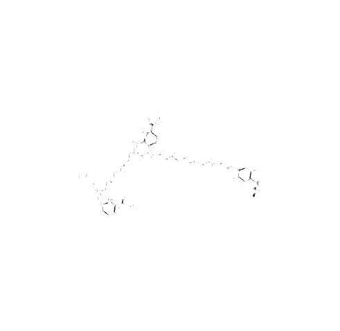 COC(=O)c1cccc(CN(CCO)CCOCCOCCN(CCOCCCSCCOCCOCCOc2ccc(N=C=S)cc2)Cc2cccc(C(=O)OC)n2)n1